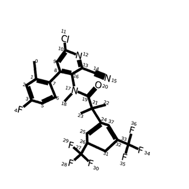 Cc1cc(F)ccc1-c1cc(Cl)nc(C#N)c1N(C)C(=O)C(C)(C)C1=CC(C(F)(F)F)CC(C(F)(F)F)=C1